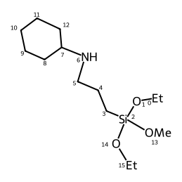 CCO[Si](CCCNC1CCCCC1)(OC)OCC